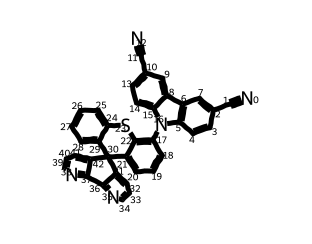 N#Cc1ccc2c(c1)c1cc(C#N)ccc1n2-c1cccc2c1Sc1ccccc1C21c2cccnc2-c2ncccc21